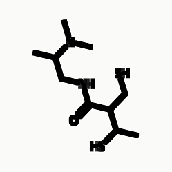 CC(S)C(CS)C(=O)NCC(C)N(C)C